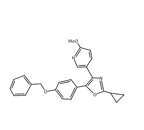 COc1ccc(-c2nc(C3CC3)oc2-c2ccc(OCc3ccccc3)cc2)cn1